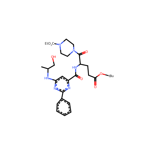 CCOC(=O)N1CCN(C(=O)C(CCC(=O)OC(C)(C)C)NC(=O)c2cc(NC(C)CO)nc(-c3ccccc3)n2)CC1